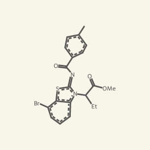 CCC(C(=O)OC)n1c(=NC(=O)c2ccc(C)cc2)sc2c(Br)cccc21